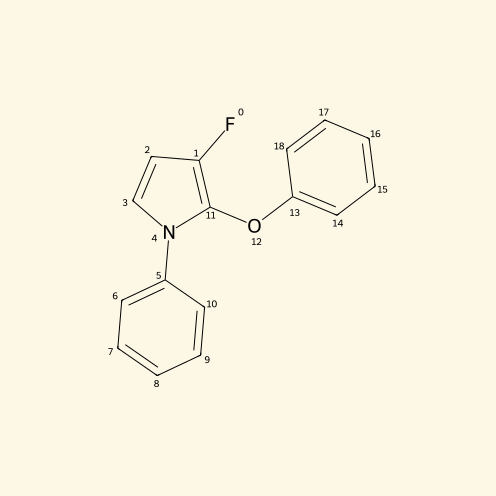 Fc1ccn(-c2ccccc2)c1Oc1ccccc1